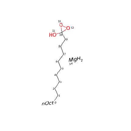 CCCCCCCCCCCCCCCCCC1(O)OO1.[MgH2]